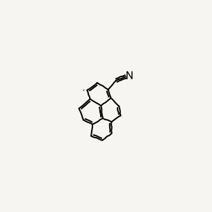 N#Cc1c[c]c2ccc3cccc4ccc1c2c34